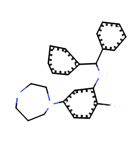 O=[N+]([O-])c1ccc(N2CCCNCC2)cc1NC(c1ccccc1)c1ccccc1